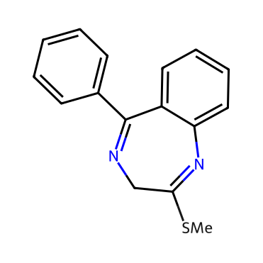 CSC1=Nc2ccccc2C(c2ccccc2)=NC1